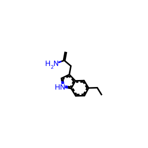 C=C(N)Cc1c[nH]c2ccc(CC)cc12